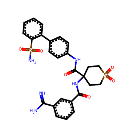 N=C(N)c1cccc(C(=O)NC2(C(=O)Nc3ccc(-c4ccccc4S(N)(=O)=O)cc3)CCS(=O)(=O)CC2)c1